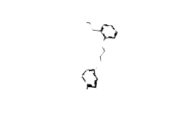 CCCc1ccccc1OCCOc1ccc(N)cc1